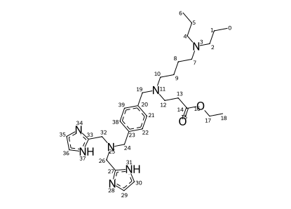 CCCN(CCC)CCCCN(CCC(=O)OCC)Cc1ccc(CN(Cc2ncc[nH]2)Cc2ncc[nH]2)cc1